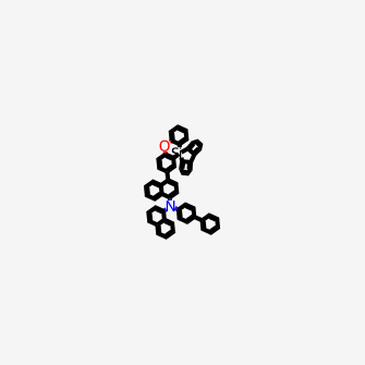 c1ccc(-c2ccc(N(c3cccc4ccccc34)c3ccc(-c4ccc5c(c4)[Si]4(c6ccccc6O5)c5ccccc5-c5ccccc54)c4ccccc34)cc2)cc1